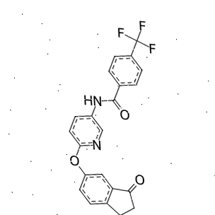 O=C(Nc1ccc(Oc2ccc3c(c2)C(=O)CC3)nc1)c1ccc(C(F)(F)F)cc1